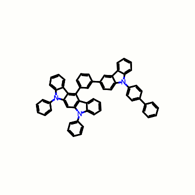 c1ccc(-c2ccc(-n3c4ccccc4c4cc(-c5cccc(-c6c7c8ccccc8n(-c8ccccc8)c7cc7c6c6ccccc6n7-c6ccccc6)c5)ccc43)cc2)cc1